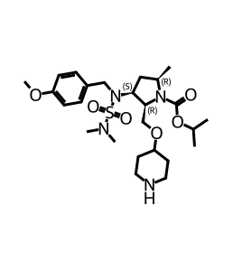 COc1ccc(CN([C@H]2C[C@@H](C)N(C(=O)OC(C)C)[C@H]2COC2CCNCC2)S(=O)(=O)N(C)C)cc1